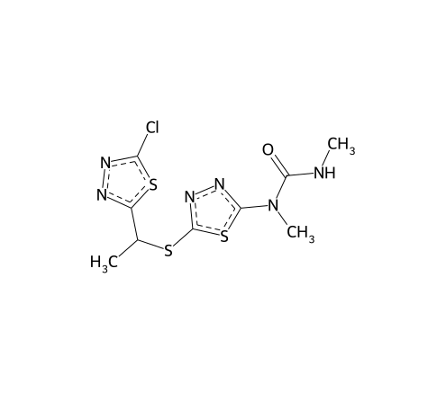 CNC(=O)N(C)c1nnc(SC(C)c2nnc(Cl)s2)s1